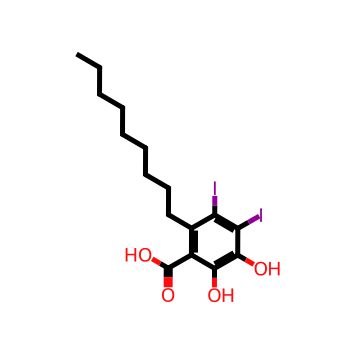 CCCCCCCCCc1c(I)c(I)c(O)c(O)c1C(=O)O